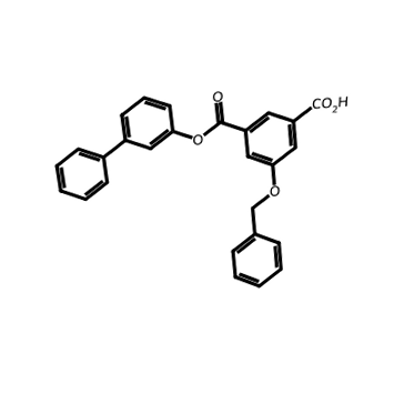 O=C(O)c1cc(OCc2ccccc2)cc(C(=O)Oc2cccc(-c3ccccc3)c2)c1